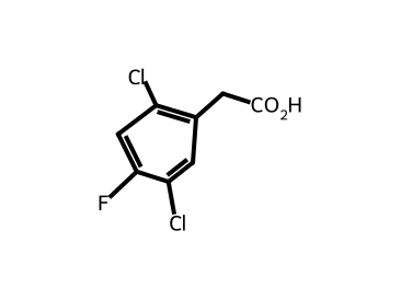 O=C(O)Cc1cc(Cl)c(F)cc1Cl